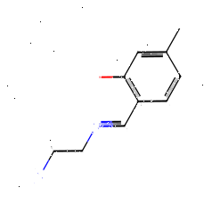 Cc1ccc(C=NCCN)c(O)c1